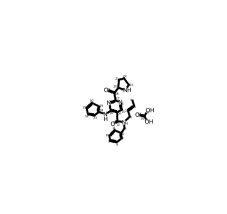 C/C=C/CN(Cc1ccccc1)C(=O)c1cnc(C(=O)C2CCCN2)nc1Nc1ccccc1.O=C(O)O